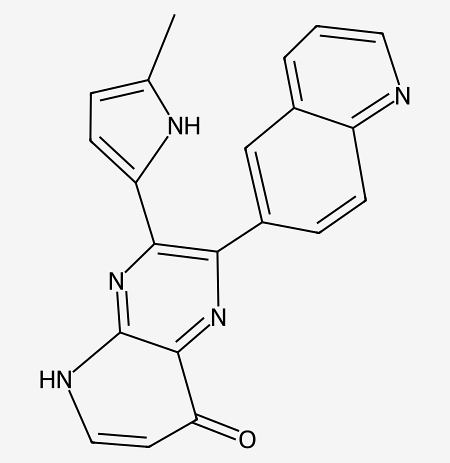 Cc1ccc(-c2nc3[nH]ccc(=O)c3nc2-c2ccc3ncccc3c2)[nH]1